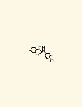 Cc1ccc(NC(=O)Nc2ccc(Cl)c(C)c2)c(F)c1